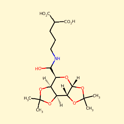 CC1(C)O[C@H]2[C@@H](O1)[C@@H](C(O)NCCCC(C(=O)O)C(=O)O)O[C@@H]1OC(C)(C)O[C@@H]12